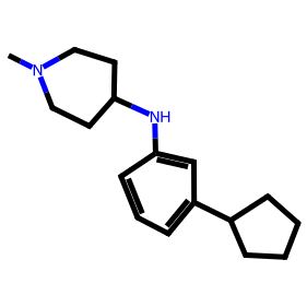 CN1CCC(Nc2cccc(C3CCCC3)c2)CC1